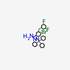 Nc1nn(C(c2ccccc2)(c2ccccc2)c2ccccc2)c2cc(Br)c(Cc3cc(F)cc(F)c3)cc12